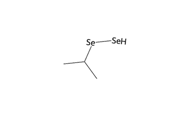 CC(C)[Se][SeH]